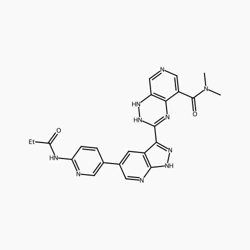 CCC(=O)Nc1ccc(-c2cnc3[nH]nc(C4=Nc5c(cncc5C(=O)N(C)C)NN4)c3c2)cn1